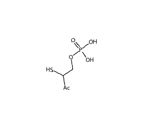 CC(=O)C(S)COP(=O)(O)O